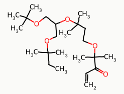 C=CC(=O)C(C)(C)OCCC(C)(C)OC(COC(C)(C)C)COC(C)(C)CC